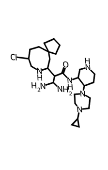 NC(N)C(C(=O)NC1CNCCC1N1CCN(C2CC2)CC1)C1CC2(CCCC2)CCC(Cl)CN1